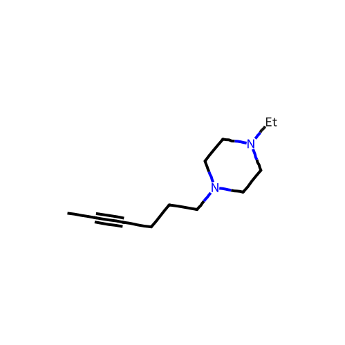 CC#CCCCN1CCN(CC)CC1